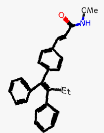 CCC(=C(c1ccccc1)c1ccc(C=CC(=O)NOC)cc1)c1ccccc1